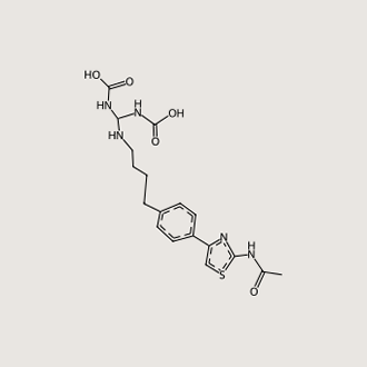 CC(=O)Nc1nc(-c2ccc(CCCCNC(NC(=O)O)NC(=O)O)cc2)cs1